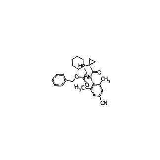 Cc1cc(C#N)cc(C)c1NC(=O)C1([PH]2(CC(=O)OCc3ccccc3)CCCCC2)CC1